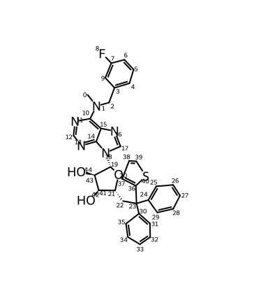 CN(Cc1cccc(F)c1)c1ncnc2c1ncn2[C@@H]1O[C@H](CC(c2ccccc2)(c2ccccc2)c2cccs2)[C@@H](O)[C@H]1O